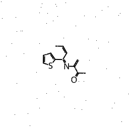 C=C(/N=C(\C=C/C)c1cccs1)C(C)=O